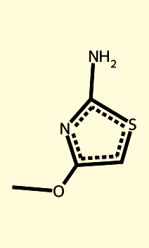 COc1csc(N)n1